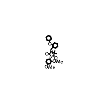 COc1ccc(N2C(=O)N(Cc3ccccc3Oc3ccccc3)C(C)(C)C2=O)c(OC)c1